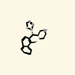 Fc1c([C@@H]([C@H]2CCCNC2)n2ncnn2)ccc2ccccc12